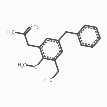 C=C(C)Cc1cc(Cc2ccccc2)cc(CC)c1OC